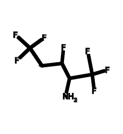 NC(C(F)[CH]C(F)(F)F)C(F)(F)F